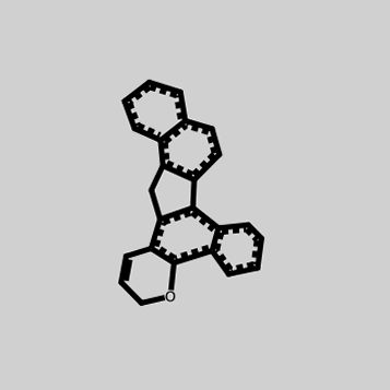 C1=Cc2c3c(c4ccccc4c2OC1)-c1ccc2ccccc2c1C3